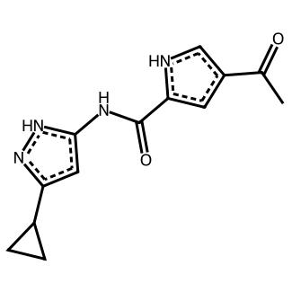 CC(=O)c1c[nH]c(C(=O)Nc2cc(C3CC3)n[nH]2)c1